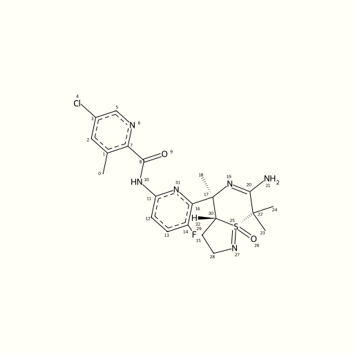 Cc1cc(Cl)cnc1C(=O)Nc1ccc(F)c([C@@]2(C)N=C(N)C(C)(C)[S@]3(=O)=NCC[C@H]23)n1